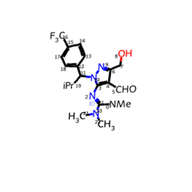 CN/C(=N\c1c(C=O)c(CO)nn1C(c1ccc(C(F)(F)F)cc1)C(C)C)N(C)C